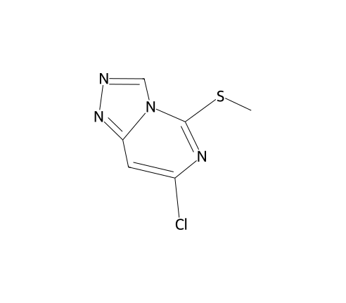 CSc1nc(Cl)cc2nncn12